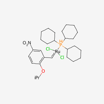 CC(C)Oc1ccc([N+](=O)[O-])cc1[CH]=[Ru]([Cl])([Cl])[PH](C1CCCCC1)(C1CCCCC1)C1CCCCC1